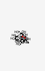 COC(=N)C(S)[C@]1(O)O[C@H](CO)[C@@H](O[C@@H]2O[C@H](C)[C@H](O)[C@H](O)[C@H]2O)[C@H](O[C@@H]2O[C@H](CO)[C@H](O)[C@H](O)[C@H]2O)[C@@H]1NC(C)=O